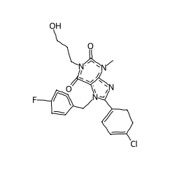 Cn1c(=O)n(CCCO)c(=O)c2c1nc(C1=CC=C(Cl)CC1)n2CC1=C=C=C(F)C=C1